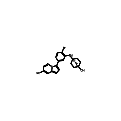 N#Cc1cnn2c(-c3cc(NC45CCC(O)(CC4)CC5)c(Br)cn3)ccc2c1